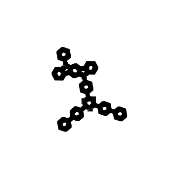 c1ccc(-c2ccc(-c3nc(-c4ccc(-c5ccccc5)cc4)nc(-c4ccc(-n5c6ccccc6c6cc7c(cc65)c5ccccc5n7-c5ccccc5)cc4)n3)cc2)cc1